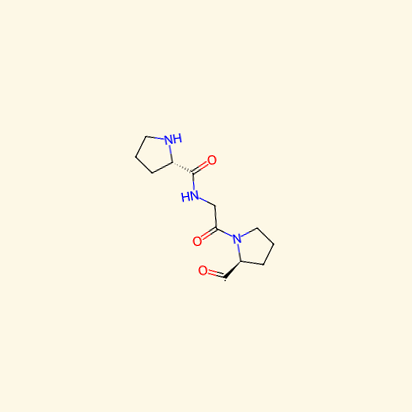 O=[C][C@@H]1CCCN1C(=O)CNC(=O)[C@@H]1CCCN1